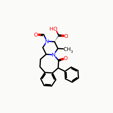 CC1[C@@H](C(=O)O)N(C=O)CC2CCc3ccccc3C(c3ccccc3)C(=O)N21